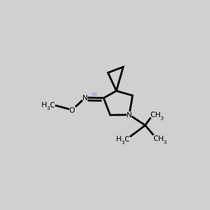 CO/N=C1\CN(C(C)(C)C)CC12CC2